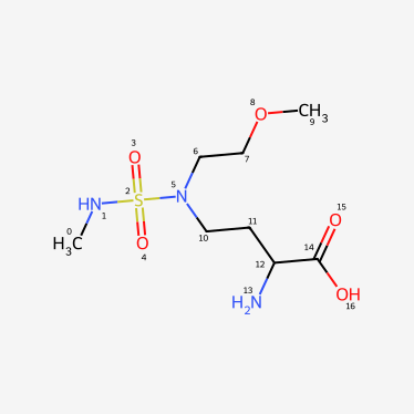 CNS(=O)(=O)N(CCOC)CCC(N)C(=O)O